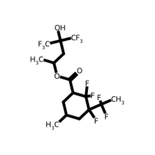 CC1CC(C(=O)OC(C)CC(O)(C(F)(F)F)C(F)(F)F)C(F)(F)C(F)(C(C)(F)F)C1